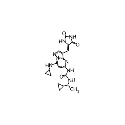 C[C@H](NC(=O)Nc1cc(NC2CC2)n2ncc(/C=C3\NC(=O)NC3=O)c2n1)C1CC1